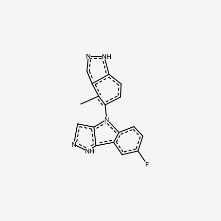 Cc1c(-n2c3ccc(F)cc3c3[nH]ncc32)ccc2[nH]ncc12